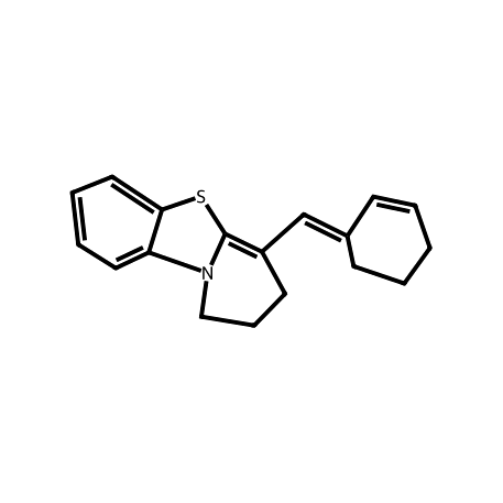 C1=C/C(=C/C2=C3Sc4ccccc4N3CCC2)CCC1